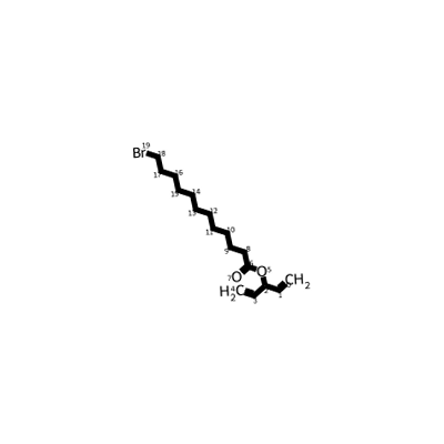 C=CC(C=C)OC(=O)CCCCCCCCCCCBr